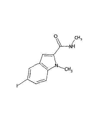 CNC(=O)c1cc2cc(I)ccc2n1C